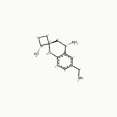 CC(C)(C)Cc1cnc2c(c1)[C@@H](N)C[C@@]1(CC[C@H]1O)O2